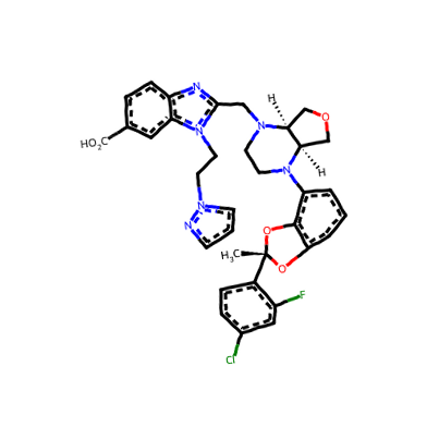 C[C@]1(c2ccc(Cl)cc2F)Oc2cccc(N3CCN(Cc4nc5ccc(C(=O)O)cc5n4CCn4cccn4)[C@H]4COC[C@H]43)c2O1